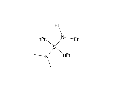 CCC[Si](CCC)(N(C)C)N(CC)CC